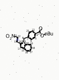 CCCCOC(=O)c1ccc(Cn2c(/C=C/[N+](=O)[O-])cc3ccccc32)cc1